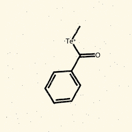 C[Te+]C(=O)c1ccccc1